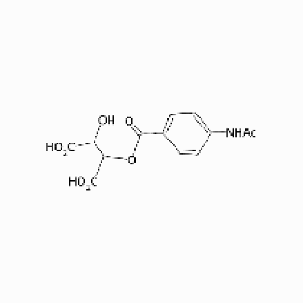 CC(=O)Nc1ccc(C(=O)OC(C(=O)O)C(O)C(=O)O)cc1